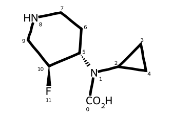 O=C(O)N(C1CC1)[C@H]1CCNC[C@@H]1F